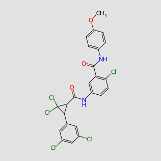 COc1ccc(NC(=O)c2cc(NC(=O)C3C(c4cc(Cl)cc(Cl)c4)C3(Cl)Cl)ccc2Cl)cc1